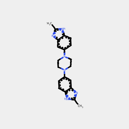 Cc1nc2cc(N3CCN(c4ccc5[nH]c(C)nc5c4)CC3)ccc2[nH]1